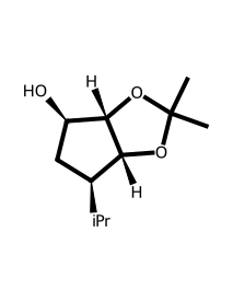 CC(C)[C@H]1C[C@@H](O)[C@@H]2OC(C)(C)O[C@@H]21